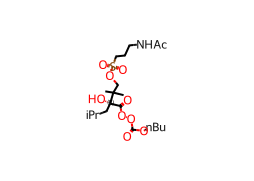 CCCCOC(=O)OOC(=O)[C@@](O)(CC(C)C)C(C)(C)COS(=O)(=O)CCCNC(C)=O